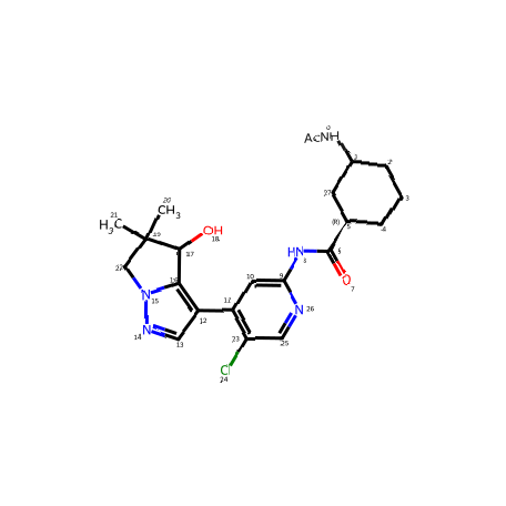 CC(=O)NC1CCC[C@@H](C(=O)Nc2cc(-c3cnn4c3C(O)C(C)(C)C4)c(Cl)cn2)C1